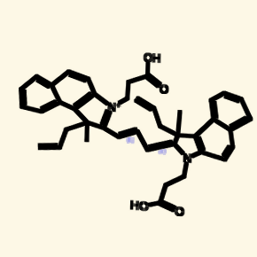 C=CCC1(C)C(/C=C/C=C2/N(CCC(=O)O)c3ccc4ccccc4c3C2(C)CC=C)=[N+](CCC(=O)O)c2ccc3ccccc3c21